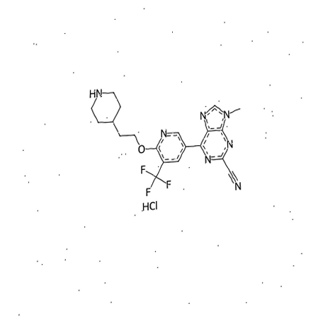 Cl.Cn1cnc2c(-c3cnc(OCCC4CCNCC4)c(C(F)(F)F)c3)nc(C#N)nc21